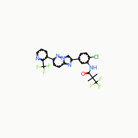 CC(C)(C(=O)Nc1cc(-c2cn3nc(-c4cccnc4C(F)(F)F)ccc3n2)ccc1Cl)C(F)(F)F